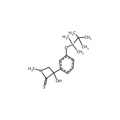 CN1CC(O)(c2cccc(O[Si](C)(C)C(C)(C)C)c2)C1=S